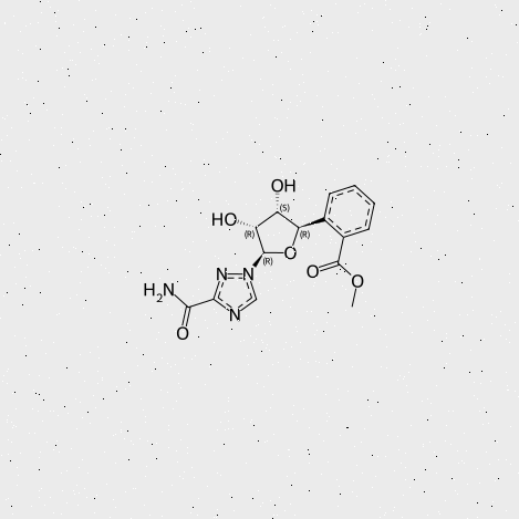 COC(=O)c1ccccc1[C@H]1O[C@@H](n2cnc(C(N)=O)n2)[C@H](O)[C@@H]1O